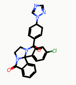 O=C(C1=CCC(n2cncn2)C=C1)N1CCN2C(=O)c3ccccc3C12c1ccc(Cl)cc1